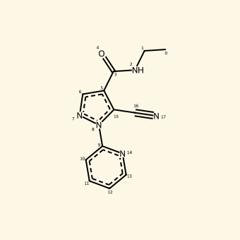 CCNC(=O)c1cnn(-c2ccccn2)c1C#N